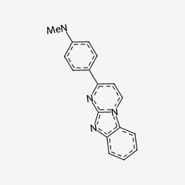 CNc1ccc(-c2ccn3c(n2)nc2ccccc23)cc1